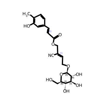 Cc1ccc(/C=C/C(=O)OC/C(C#N)=C/CO[C@@H]2O[C@H](CO)[C@@H](O)[C@H](O)[C@H]2O)cc1O